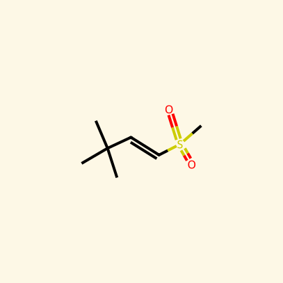 CC(C)(C)C=CS(C)(=O)=O